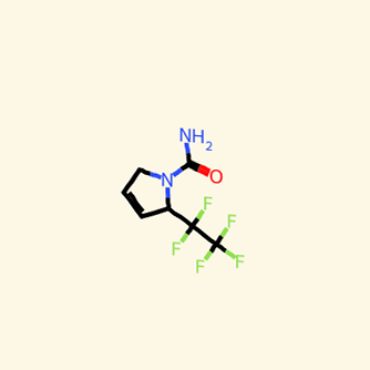 NC(=O)N1CC=CC1C(F)(F)C(F)(F)F